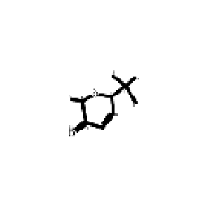 CC1OC(C(C)(C)C)C=CC1=O